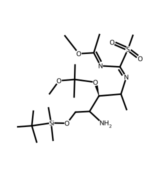 CO/C(C)=N/C(=N\C(C)[C@H](OC(C)(C)OC)C(N)CO[Si](C)(C)C(C)(C)C)S(C)(=O)=O